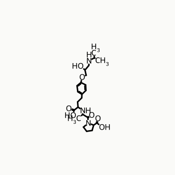 CC(C)NCC(O)COc1ccc(CCC(NC(C)C(=O)N2CCCC2C(=O)O)C(=O)O)cc1